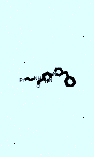 CC(C)CCNC(=O)c1ccc(N2CCC(Cc3ccccc3)C2)nn1